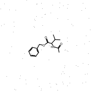 CC(=O)NC(C(=O)OCc1ccccc1)C(C)C